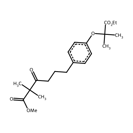 CCOC(=O)C(C)(C)Oc1ccc(CCCC(=O)C(C)(C)C(=O)OC)cc1